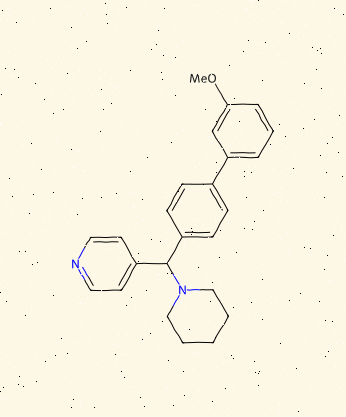 COc1cccc(-c2ccc(C(c3ccncc3)N3CCCCC3)cc2)c1